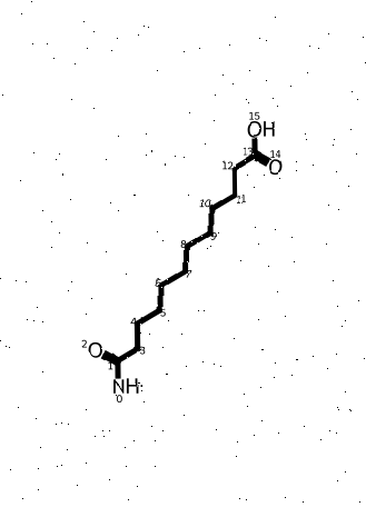 [NH]C(=O)CCCCCCCCCCC(=O)O